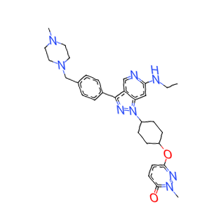 CCNc1cc2c(cn1)c(-c1ccc(CN3CCN(C)CC3)cc1)nn2C1CCC(Oc2ccc(=O)n(C)n2)CC1